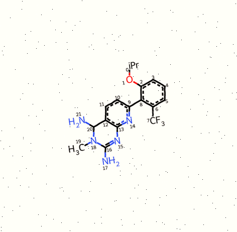 CC(C)Oc1cccc(C(F)(F)F)c1-c1ccc2c(n1)N=C(N)N(C)C2N